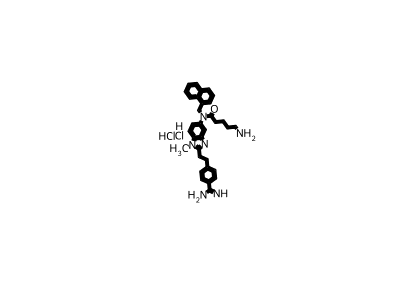 Cl.Cl.Cn1c(CCc2ccc(C(=N)N)cc2)nc2cc(N(Cc3cccc4ccccc34)C(=O)CCCCN)ccc21